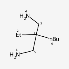 CCCCC(CC)(CN)CN